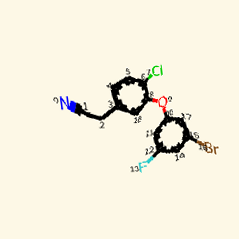 N#CCc1ccc(Cl)c(Oc2cc(F)cc(Br)c2)c1